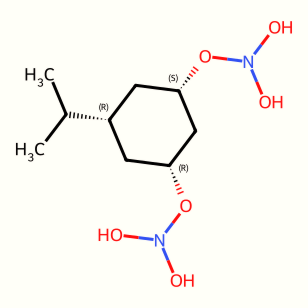 CC(C)[C@@H]1C[C@H](ON(O)O)C[C@H](ON(O)O)C1